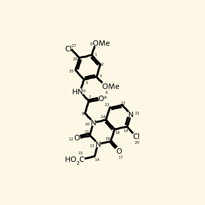 COc1cc(OC)c(NC(=O)Cn2c(=O)n(CC(=O)O)c(=O)c3c(Cl)nccc32)cc1Cl